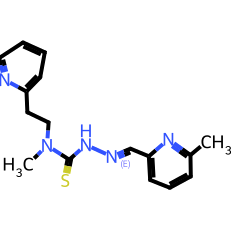 Cc1cccc(/C=N/NC(=S)N(C)CCc2ccccn2)n1